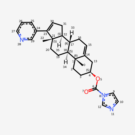 C[C@]12CC[C@H](OC(=O)n3ccnc3)CC1=CC[C@@H]1[C@@H]2CC[C@]2(C)C(c3cccnc3)=CC[C@@H]12